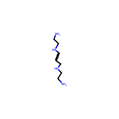 NCCNC=CCNCCN